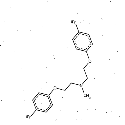 CC(C)c1ccc(OCCN(C)CCOc2ccc(C(C)C)cc2)cc1